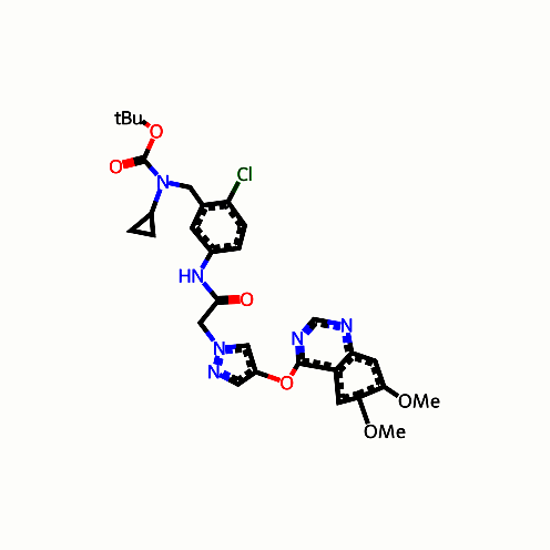 COc1cc2ncnc(Oc3cnn(CC(=O)Nc4ccc(Cl)c(CN(C(=O)OC(C)(C)C)C5CC5)c4)c3)c2cc1OC